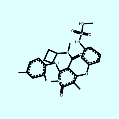 CNS(=O)(=O)Nc1cccc(Oc2c(C(=O)N(C)C3CCC3)c(Nc3ccc(C)cc3F)n(C)c(=O)c2C)c1